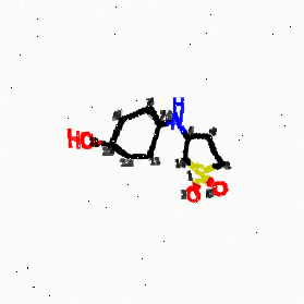 O=S1(=O)CCC(NC2CCC(O)CC2)C1